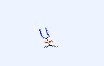 CC(C)C(C(=O)O)S(=O)(=O)C(N=[N+]=[N-])N=[N+]=[N-]